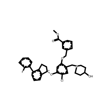 COC(=O)c1cccc(COc2cc(O[C@H]3CCc4c(-c5ccccc5F)cccc43)c(Cl)cc2CN2CCC(O)CC2)c1